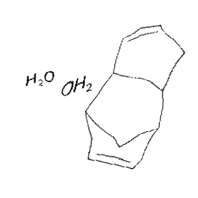 C1=CC2C3C=CC(C3)C2C1.O.O